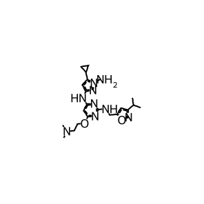 CC(C)c1cc(CNc2nc(Nc3cc(C4CC4)n(N)n3)cc(OCCN(C)C)n2)on1